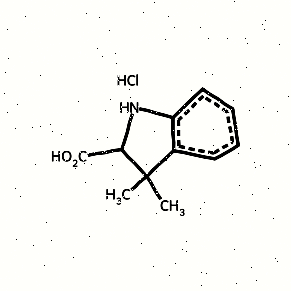 CC1(C)c2ccccc2NC1C(=O)O.Cl